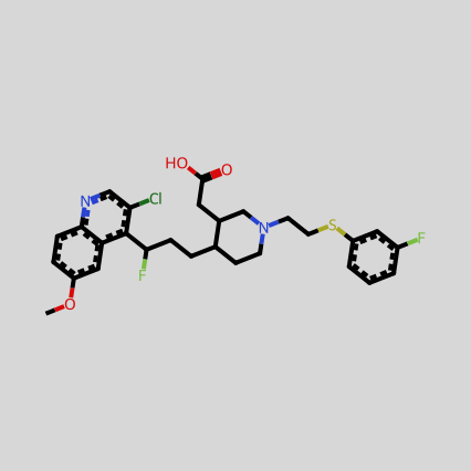 COc1ccc2ncc(Cl)c(C(F)CCC3CCN(CCSc4cccc(F)c4)CC3CC(=O)O)c2c1